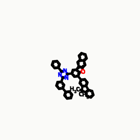 CC1(C)c2ccccc2-c2ccc(-c3cc(-c4nc(-c5ccccc5)nc(-c5cccc(-c6ccccc6)c5)n4)cc4c3oc3cc5ccccc5cc34)cc21